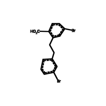 O=C(O)c1ccc(Br)cc1CCc1cccc(Br)c1